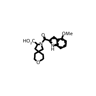 COc1cccc2[nH]c(C(=O)N3CC4(CCOCC4)CC3C(=O)O)cc12